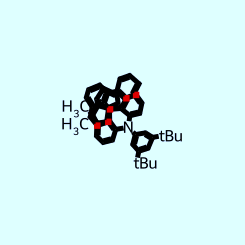 CC(C)(C)c1cc(N(c2ccccc2-c2cccc3cccc(-c4ccccc4)c23)c2cccc3c2-c2ccccc2C3(C)C)cc(C(C)(C)C)c1